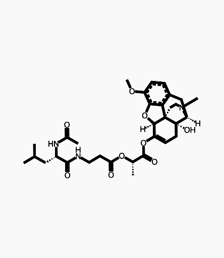 COc1ccc2c3c1O[C@@H]1C(OC(=O)[C@H](C)OC(=O)CCNC(=O)[C@H](CC(C)C)NC(C)=O)=CC[C@]4(O)[C@H](C2)N(C)CC[C@@]314